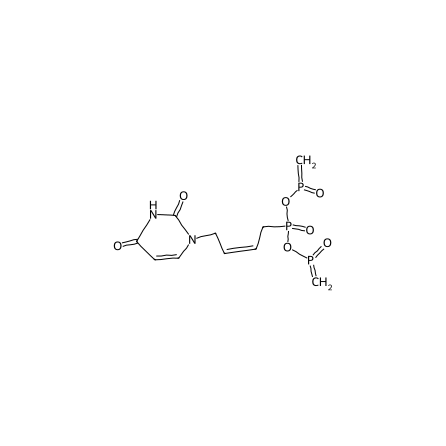 C=P(=O)OP(=O)(C/C=C\Cn1ccc(=O)[nH]c1=O)OP(=C)=O